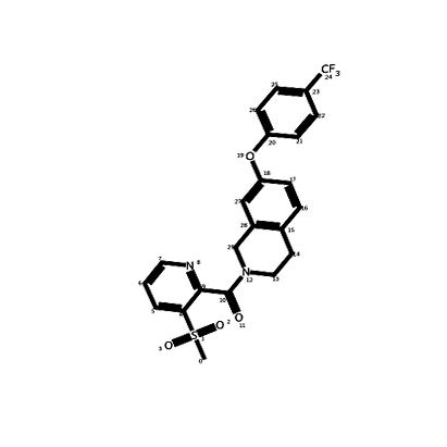 CS(=O)(=O)c1cccnc1C(=O)N1CCc2ccc(Oc3ccc(C(F)(F)F)cc3)cc2C1